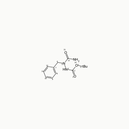 CC(C)(C)OC(=O)NN(Cc1ccccc1)C(N)=O